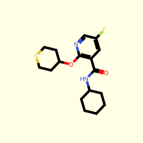 O=C(NC1CC[CH]CC1)c1cc(F)cnc1OC1CCSCC1